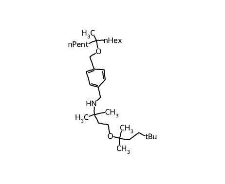 CCCCCCC(C)(CCCCC)OCc1ccc(CNC(C)(C)CCOC(C)(C)CCC(C)(C)C)cc1